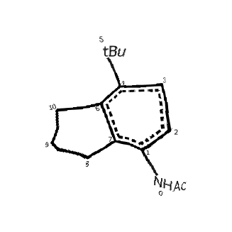 CC(=O)Nc1ccc(C(C)(C)C)c2c1CCC2